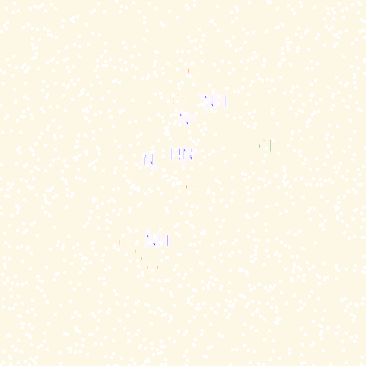 O=C(Nc1ccc(Cl)cc1-c1noc(=O)[nH]1)c1noc2ccc(NS(=O)(=O)c3ccccc3)cc12